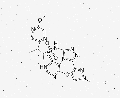 COc1cnc(C(C)C(C)S(=O)(=O)Nc2nnc(-c3ccn(C)n3)n2-c2c(OC)nc[nH]c2=O)cn1